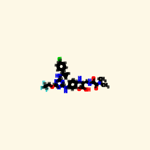 CN(C)C(=O)C(=O)NC[C@H](Nc1ccc(Nc2nc(NC3(c4ccc(Cl)cc4)CC3)nc(OCC(F)(F)F)n2)cc1)C(=O)O